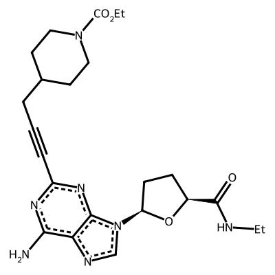 CCNC(=O)[C@@H]1CC[C@H](n2cnc3c(N)nc(C#CCC4CCN(C(=O)OCC)CC4)nc32)O1